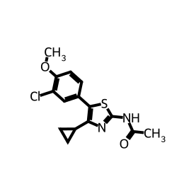 COc1ccc(-c2sc(NC(C)=O)nc2C2CC2)cc1Cl